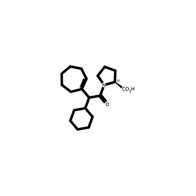 O=C(O)[C@@H]1CCCN1C(=O)C(C1=CCCCCC1)C1CCCCC1